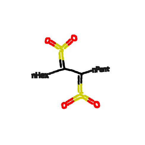 CCCCCCC(C(CCCCC)=S(=O)=O)=S(=O)=O